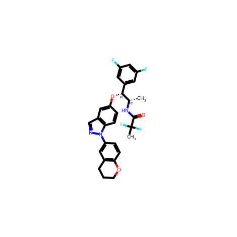 C[C@H](NC(=O)C(C)(F)F)[C@H](Oc1ccc2c(cnn2-c2ccc3c(c2)CCCO3)c1)c1cc(F)cc(F)c1